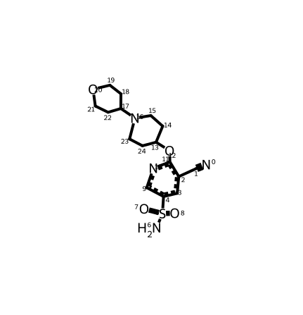 N#Cc1cc(S(N)(=O)=O)cnc1OC1CCN(C2CCOCC2)CC1